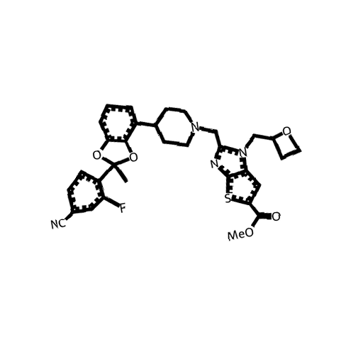 COC(=O)c1cc2c(nc(CN3CCC(c4cccc5c4OC(C)(c4ccc(C#N)cc4F)O5)CC3)n2CC2CCO2)s1